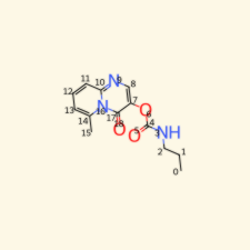 CCCNC(=O)Oc1cnc2cccc(C)n2c1=O